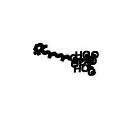 COCC(O)C1OC(=O)C(O)=C1OCC(=O)OC/C=C(C)/C=C/C=C(C)/C=C/C1=C(C)CCCC1(C)C